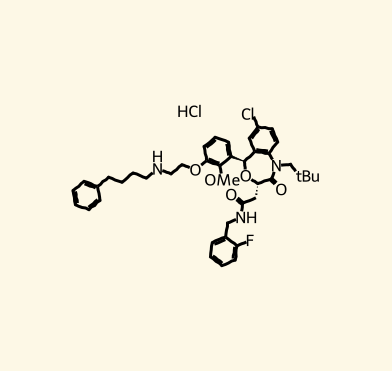 COc1c(OCCNCCCCc2ccccc2)cccc1[C@@H]1O[C@@H](CC(=O)NCc2ccccc2F)C(=O)N(CC(C)(C)C)c2ccc(Cl)cc21.Cl